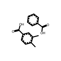 Cc1ccc(C(=O)O)cc1C.O=C(O)c1ccccc1